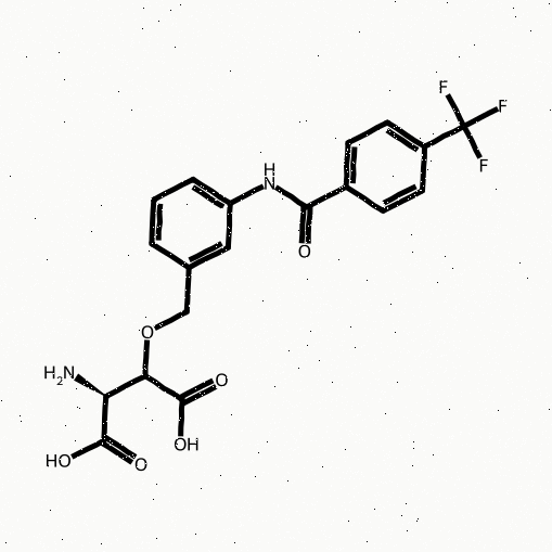 N[C@H](C(=O)O)C(OCc1cccc(NC(=O)c2ccc(C(F)(F)F)cc2)c1)C(=O)O